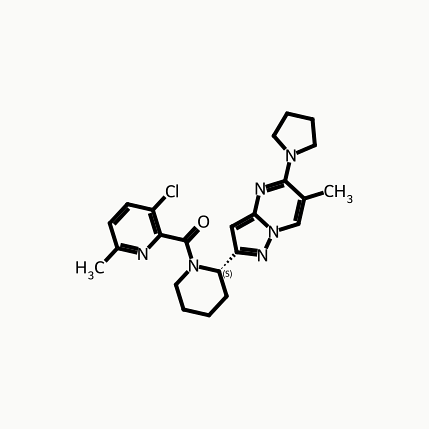 Cc1ccc(Cl)c(C(=O)N2CCCC[C@H]2c2cc3nc(N4CCCC4)c(C)cn3n2)n1